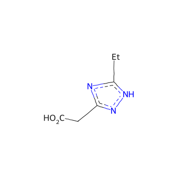 CCc1nc(CC(=O)O)n[nH]1